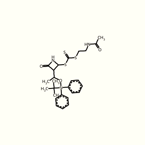 CC(=O)NCCSC(=S)SC1NC(=O)C1C(C)O[Si](c1ccccc1)(c1ccccc1)C(C)(C)C